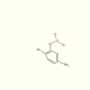 Cc1ccc(C(C)C)c(O[I+2]([O-])[O-])c1